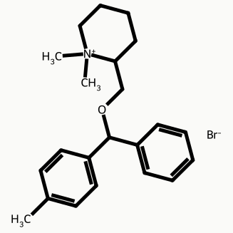 Cc1ccc(C(OCC2CCCC[N+]2(C)C)c2ccccc2)cc1.[Br-]